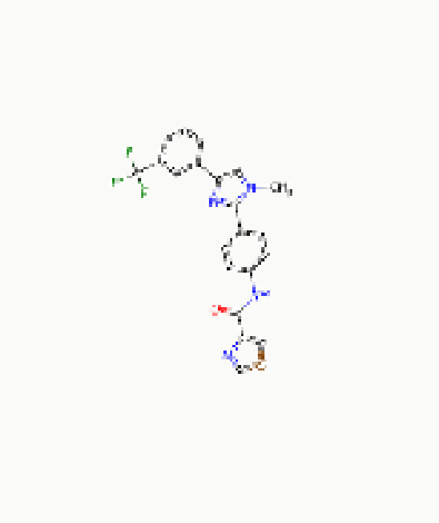 Cn1cc(-c2cccc(C(F)(F)F)c2)nc1-c1ccc(NC(=O)c2cscn2)cc1